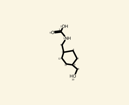 O=C(O)NCC1CCC(CO)CC1